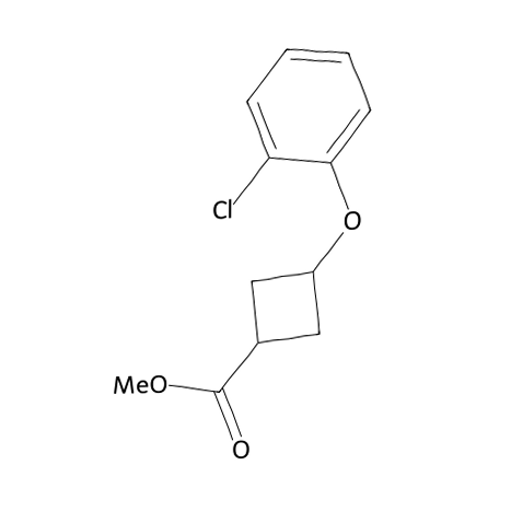 COC(=O)C1CC(Oc2ccccc2Cl)C1